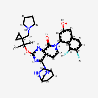 [2H]C([2H])(Oc1nc(N2CC3CCC2CN3)c2ccn(-c3cc(O)cc4ccc(F)c(F)c34)c(=O)c2n1)C1(CN2CCCC2)CC1